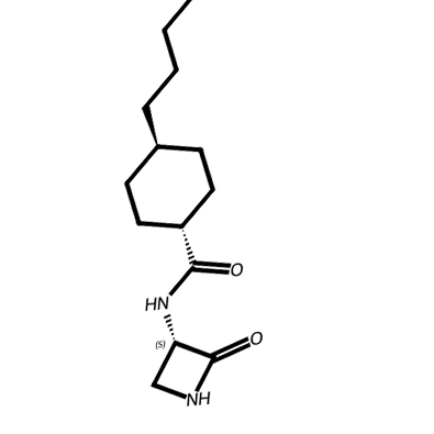 CCCC[C@H]1CC[C@H](C(=O)N[C@H]2CNC2=O)CC1